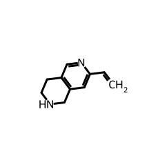 C=Cc1cc2c(cn1)CCNC2